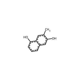 Cc1cc2c(O)cccc2cc1O